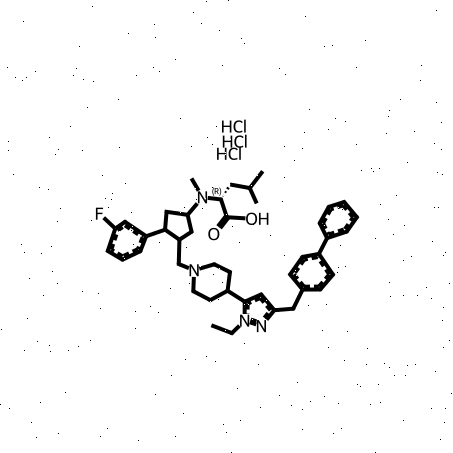 CCn1nc(Cc2ccc(-c3ccccc3)cc2)cc1C1CCN(CC2CC(N(C)[C@H](CC(C)C)C(=O)O)CC2c2cccc(F)c2)CC1.Cl.Cl.Cl